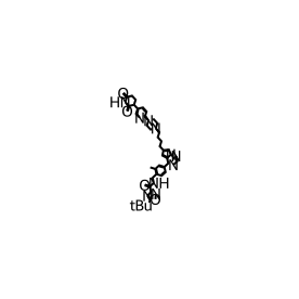 Cc1cc(-c2ncnn3cc(CCCCN4CCN(c5ccc(C6CCC(=O)NC6=O)cn5)CC4)cc23)ccc1CNC(=O)c1noc(C(C)(C)C)n1